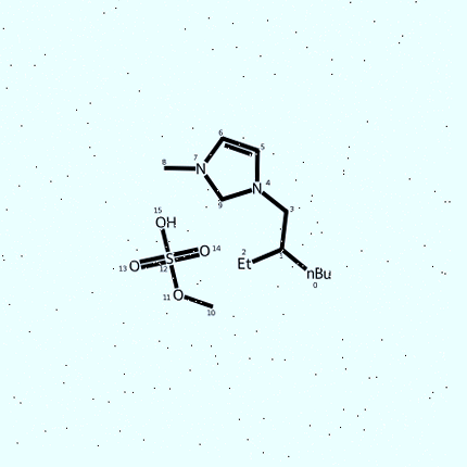 CCCCC(CC)CN1C=CN(C)C1.COS(=O)(=O)O